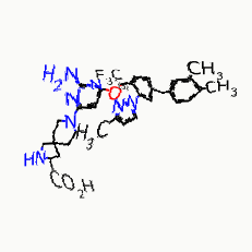 Cc1ccn(-c2cc(-c3ccc(C)c(C)c3)ccc2[C@H](Oc2cc(N3CCC4(CC3)CNC(C(=O)O)C4)nc(N)n2)C(F)(F)F)n1